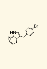 Brc1ccc(Cc2c[nH]c3ncccc23)cc1